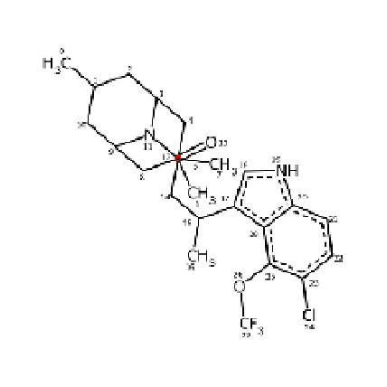 CC1CC2CC(C)(C)CC(C1)N2C(=O)CC(C)c1c[nH]c2ccc(Cl)c(OC(F)(F)F)c12